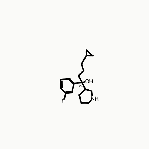 O[C@](CCCC1CC1)(c1cccc(F)c1)C1CCCNC1